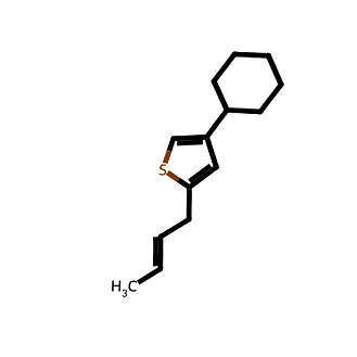 CC=CCc1cc(C2CCCCC2)cs1